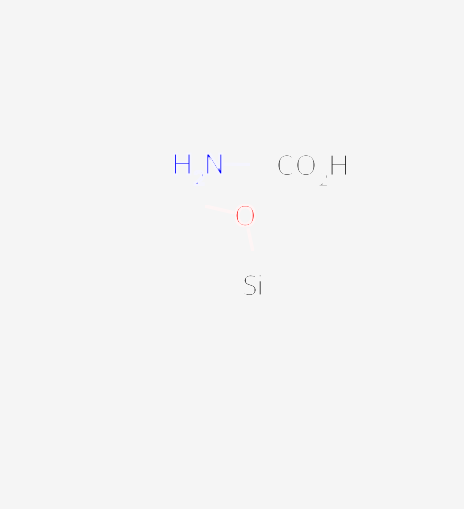 C[Si]1(C)CCCCO1.NC(=O)O